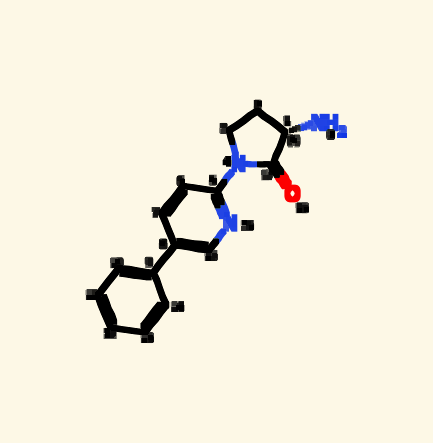 N[C@H]1CCN(c2ccc(-c3ccccc3)cn2)C1=O